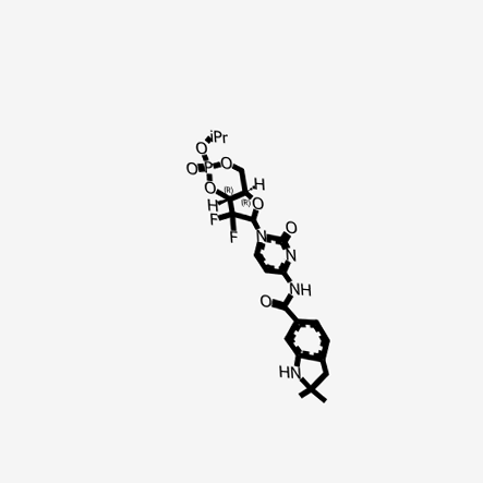 CC(C)OP1(=O)OC[C@H]2OC(n3ccc(NC(=O)c4ccc5c(c4)NC(C)(C)C5)nc3=O)C(F)(F)[C@@H]2O1